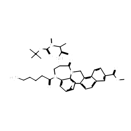 COC(=O)c1ccc2c(CN3C(=O)[C@@H](NC(=O)C(C)N(C)C(=O)OC(C)(C)C)CN(C(=O)CCCCN)c4ccccc43)c(OC)ccc2c1